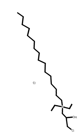 CCCCCCCCCCCCCCCC[N+](CC)(CC)CC(O)CCl.[Cl-]